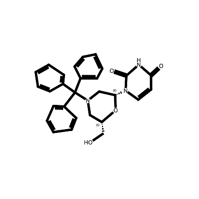 O=c1ccn([C@H]2CN(C(c3ccccc3)(c3ccccc3)c3ccccc3)C[C@@H](CO)O2)c(=O)[nH]1